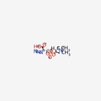 C[N+](C)(C)CCOP(=O)([O-])OC[C@H](N=[N+]=[N-])C(=O)O